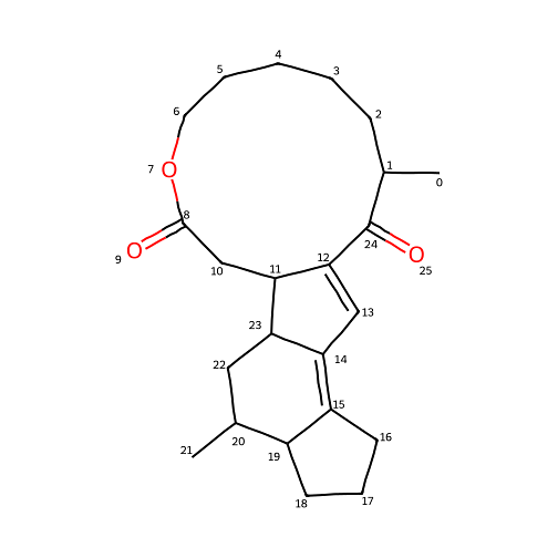 CC1CCCCCOC(=O)CC2C(=CC3=C4CCCC4C(C)CC32)C1=O